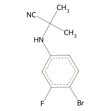 CC(C)(C#N)Nc1ccc(Br)c(F)c1